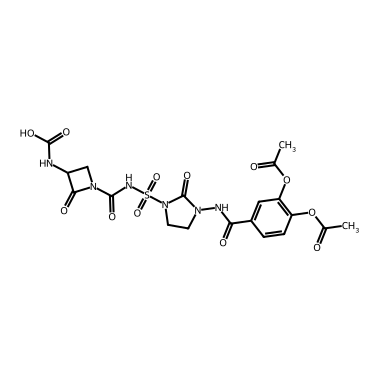 CC(=O)Oc1ccc(C(=O)NN2CCN(S(=O)(=O)NC(=O)N3CC(NC(=O)O)C3=O)C2=O)cc1OC(C)=O